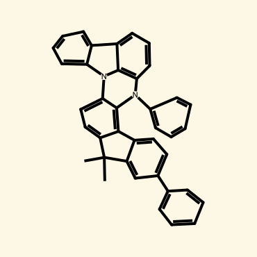 CC1(C)c2cc(-c3ccccc3)ccc2-c2c1ccc1c2N(c2ccccc2)c2cccc3c4ccccc4n-1c23